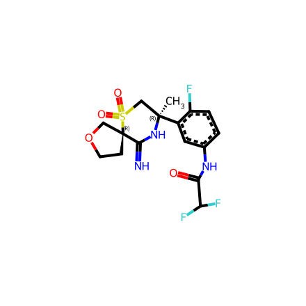 C[C@@]1(c2cc(NC(=O)C(F)F)ccc2F)CS(=O)(=O)[C@]2(CCOC2)C(=N)N1